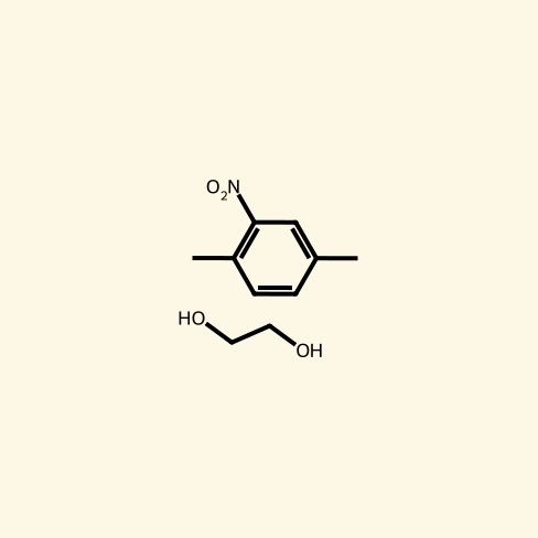 Cc1ccc(C)c([N+](=O)[O-])c1.OCCO